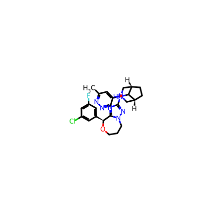 Cc1cc(N2C[C@H]3CC[C@@H](C2)C3Nc2nc3n(n2)CCCO[C@H]3c2cc(F)cc(Cl)c2)cnn1